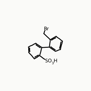 O=S(=O)(O)c1ccccc1-c1ccccc1CBr